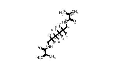 C=C(C)C(=O)NCC(F)(F)C(F)(F)C(F)(F)C(F)(F)CNC(=O)C(=C)C